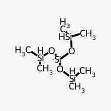 C[SiH](C)O[Si](O[SiH](C)C)O[SiH](C)C